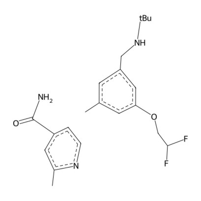 Cc1cc(C(N)=O)ccn1.Cc1cc(CNC(C)(C)C)cc(OCC(F)F)c1